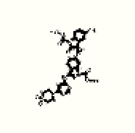 Cc1ccc2c(c1)[C@]1(C[C@H]1c1ccc3c(Nc4cc(N5CCS(=O)(=O)CC5)ncn4)nn(C(=O)OC(C)(C)C)c3c1)C(=O)N2C(=O)OC(C)(C)C